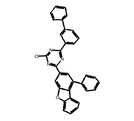 Clc1nc(-c2cccc(-c3ccccc3)c2)nc(-c2cc(-c3ccccc3)c3c(c2)oc2ccccc23)n1